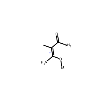 CCO/C(N)=C(/C)C(N)=O